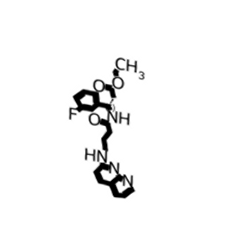 CCOC(=O)C[C@H](NC(=O)CCCNc1ccc2cccnc2n1)c1cccc(F)c1